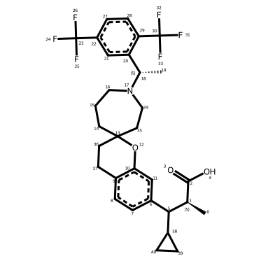 C[C@H](C(=O)O)C(c1ccc2c(c1)OC1(CCCN([C@@H](C)c3cc(C(F)(F)F)ccc3C(F)(F)F)CC1)CC2)C1CC1